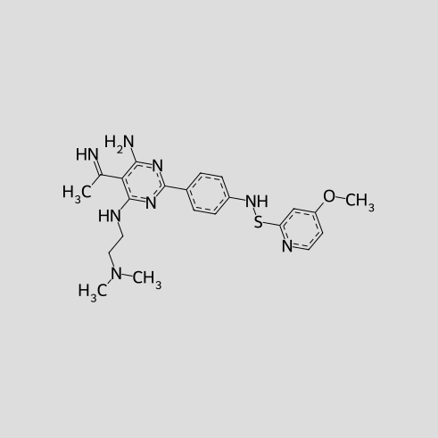 COc1ccnc(SNc2ccc(-c3nc(N)c(C(C)=N)c(NCCN(C)C)n3)cc2)c1